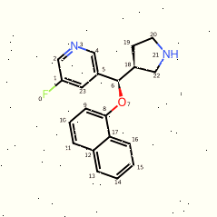 Fc1cncc([C@H](Oc2cccc3ccccc23)[C@H]2CCNC2)c1